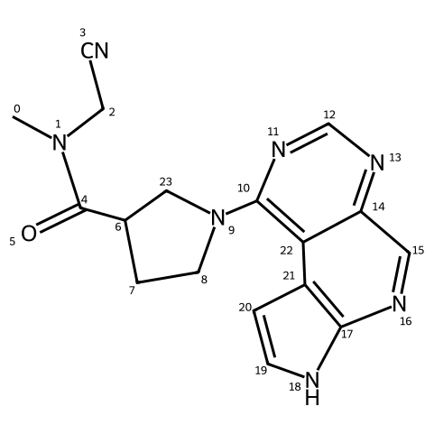 CN(CC#N)C(=O)C1CCN(c2ncnc3cnc4[nH]ccc4c23)C1